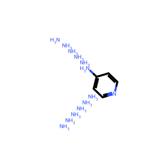 N.N.N.N.N.N.N.N.N.N.N.Nc1ccncc1